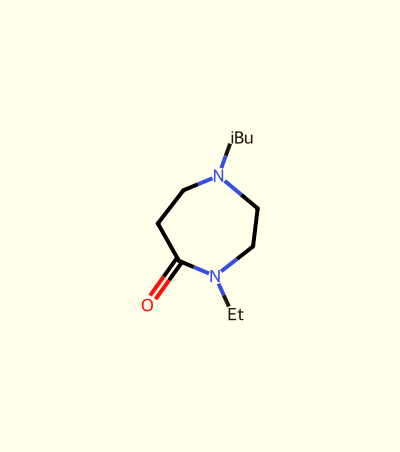 CCC(C)N1CCC(=O)N(CC)CC1